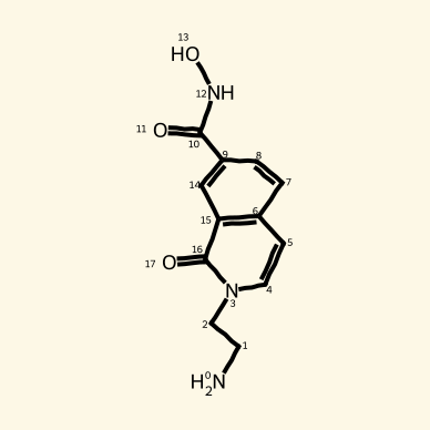 NCCn1ccc2ccc(C(=O)NO)cc2c1=O